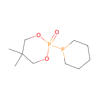 CC1(C)COP(=O)(P2CCCCC2)OC1